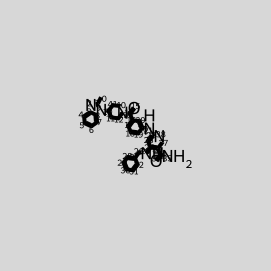 Cc1nc2ccccc2n1C1CCN(C(=O)c2cccc(Nc3cc(NCc4ccccc4)c(C(N)=O)cn3)c2)CC1